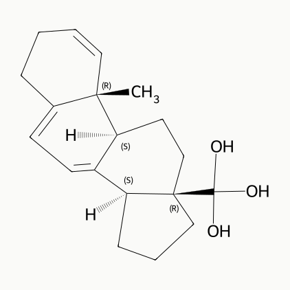 C[C@]12C=CCCC1=CC=C1[C@@H]3CCC[C@@]3(C(O)(O)O)CC[C@@H]12